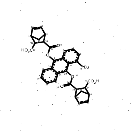 CC(C)(C)c1cccc2c(OC(=O)C3C4C=CC(C4)C3C(=O)O)c3ccccc3c(OC(=O)C3C4C=CC(C4)C3C(=O)O)c12